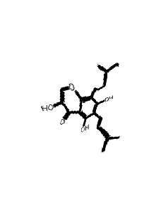 CC(C)=CCc1c(O)c(CC=C(C)C)c2occ(O)c(=O)c2c1O